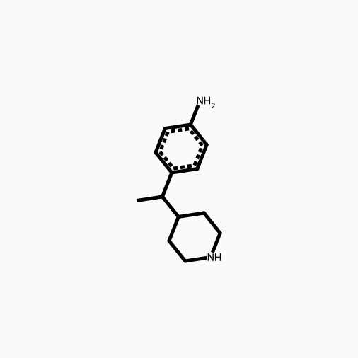 CC(c1ccc(N)cc1)C1CCNCC1